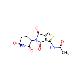 CC(=O)Nc1scc2c1C(=O)N(C1CCC(=O)NC1=O)C2=O